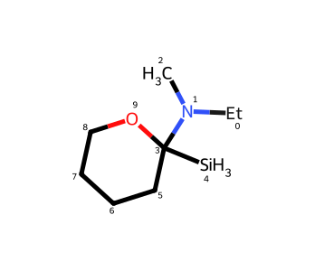 CCN(C)C1([SiH3])CCCCO1